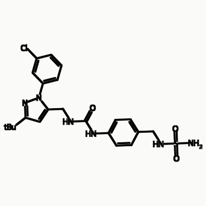 CC(C)(C)c1cc(CNC(=O)Nc2ccc(CNS(N)(=O)=O)cc2)n(-c2cccc(Cl)c2)n1